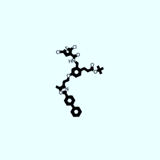 Cc1oc(-c2ccc(-c3ccccc3)cc2)nc1CCOc1ccc(CCC(=O)OC(C)(C)C)c(CNC(=O)c2cc(Cl)sc2Cl)c1